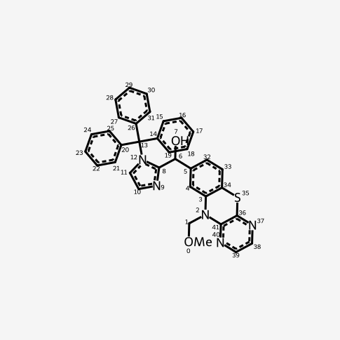 COCN1c2cc(C(O)c3nccn3C(c3ccccc3)(c3ccccc3)c3ccccc3)ccc2Sc2nccnc21